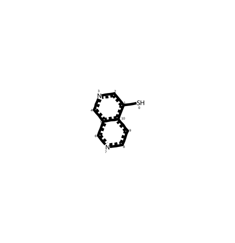 Sc1cncc2cnccc12